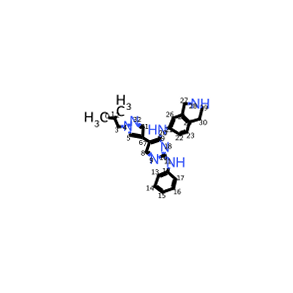 CC(C)Cn1cc(-c2cnc(Nc3ccccc3)nc2Nc2ccc3c(c2)CNCC3)cn1